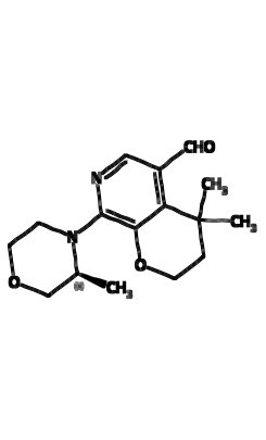 C[C@H]1COCCN1c1ncc(C=O)c2c1OCCC2(C)C